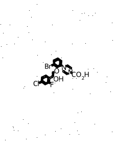 O=C(O)N1CCN(c2cccc(Br)c2OCC(O)c2ccc(Cl)cc2F)CC1